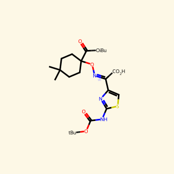 CC(C)COC(=O)C1(O/N=C(\C(=O)O)c2csc(NC(=O)OC(C)(C)C)n2)CCC(C)(C)CC1